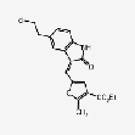 CCOC(=O)c1cc(C=C2C(=O)Nc3ccc(CCCl)cc32)oc1C